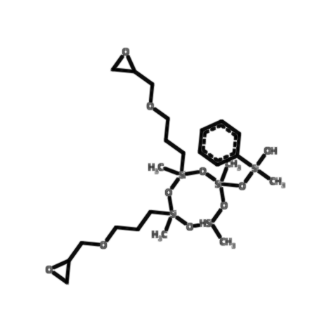 C[SiH]1O[Si](C)(CCCOCC2CO2)O[Si](C)(CCCOCC2CO2)O[Si](C)(O[Si](C)(O)c2ccccc2)O1